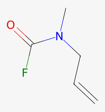 C=CCN(C)C(=O)F